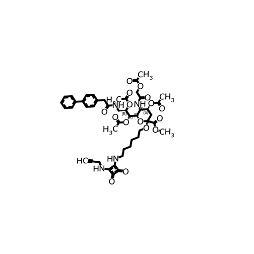 C#CCNc1c(NCCCCCCO[C@]2(C(=O)OC)C[C@H](OC(C)=O)[C@@H](NC(=O)COC(C)=O)[C@H]([C@H](OC(C)=O)[C@@H](CNC(=O)Cc3ccc(-c4ccccc4)cc3)OC(C)=O)O2)c(=O)c1=O